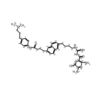 CN(C)CCCc1ccc(NC(=O)CCCc2ccc3cc(CCCCNC(=N)NC(=O)c4nc(Cl)c(N)nc4N)ccc3c2)cc1